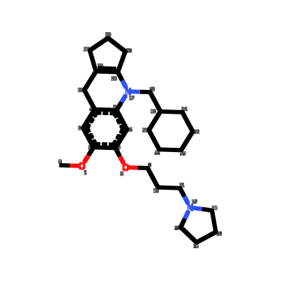 COc1cc2c(cc1OCCCN1CCCC1)N(CC1CCCCC1)C1=C(CCC1)C2